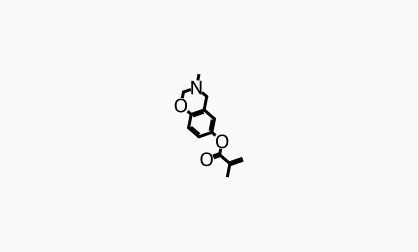 C=C(C)C(=O)Oc1ccc2c(c1)CN(C)CO2